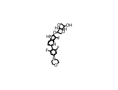 O[C@@H]1CO[C@H]2[C@@H]1OC[C@H]2Oc1[nH]c2ccc(-c3c(F)cc(N4CCOCC4)cc3F)nc2c1F